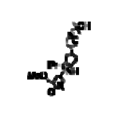 COCc1cc(-c2[nH]c3ccc(C4CCN(CC(C)(C)O)CC4)cc3c2C(C)C)cn(C)c1=O